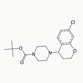 CC(C)(C)OC(=O)N1CCN(C2CCOc3cc(Cl)ccc32)CC1